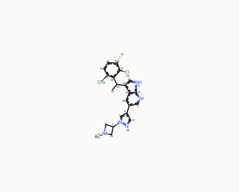 CC(=O)N1CC(n2cc(-c3cnc4[nH]cc(C(C)c5c(Cl)ccc(F)c5Cl)c4c3)cn2)C1